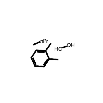 CCCC.Cc1ccccc1C.OO